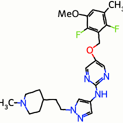 COc1cc(C)c(F)c(COc2cnc(Nc3cnn(CCC4CCN(C)CC4)c3)nc2)c1F